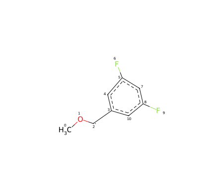 CO[CH]c1cc(F)cc(F)c1